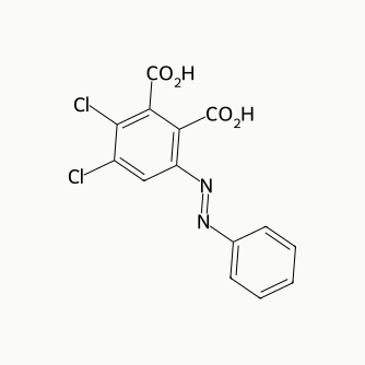 O=C(O)c1c(N=Nc2ccccc2)cc(Cl)c(Cl)c1C(=O)O